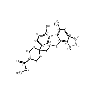 CC(C)(C)OC(=O)N1CCC(COCc2cc(C(F)(F)F)cc3nn[nH]c23)(c2ccc(F)cc2)CC1